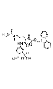 NC(=O)NCCCC(NC(=O)OCC1c2ccccc2-c2ccccc21)C(=O)Nc1ccc(CCl)c(S(=O)(=O)O)c1